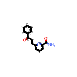 NC(=O)c1cccc(C=CC(=O)c2ccccc2)n1